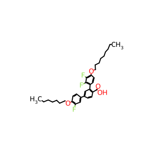 CCCCCCCCCOc1ccc(-c2cc(-c3ccc(OCCCCCCC)c(F)c3)ccc2C(=O)O)c(F)c1F